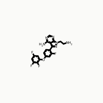 NCCn1nc(-c2ccc(Oc3cc(F)cc(F)c3F)cc2F)c2c(N)ncnc21